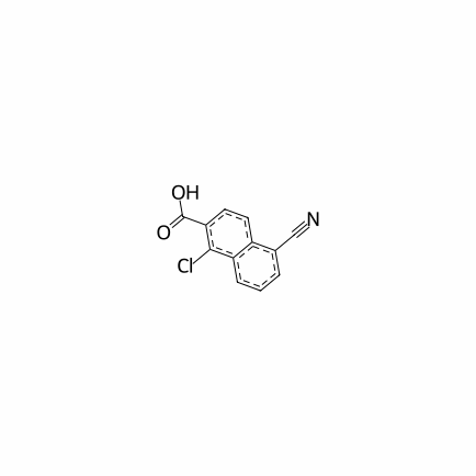 N#Cc1cccc2c(Cl)c(C(=O)O)ccc12